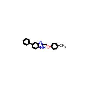 FC(F)(F)c1ccc(OCc2nc3cc(-c4cc[c]cc4)ccc3[nH]2)cc1